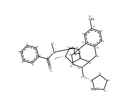 C[C@H]1CC23CCC(N(C)C(=O)c4ccccc4)C1C21CCN(C[C@@H]2CCCN2)C3Cc2ccc(O)cc21